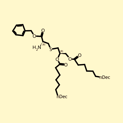 CCCCCCCCCCCCCCCC(=O)OC[C@H](CSC[C@H](N)C(=O)OCc1ccccc1)OC(=O)CCCCCCCCCCCCCCC